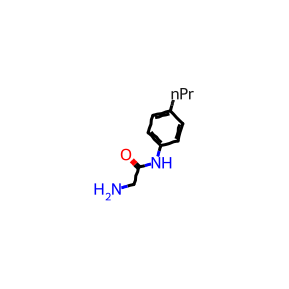 CCCc1ccc(NC(=O)CN)cc1